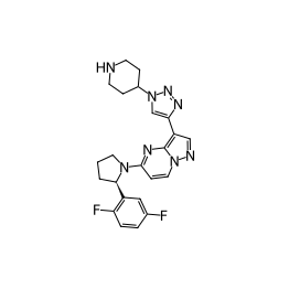 Fc1ccc(F)c([C@H]2CCCN2c2ccn3ncc(-c4cn(C5CCNCC5)nn4)c3n2)c1